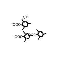 Cc1cc(C)c(C(=O)[O-])c(C)c1.Cc1cc(C)c(C(=O)[O-])c(C)c1.Cc1cc(C)c(C(=O)[O-])c(C)c1.[Al+3]